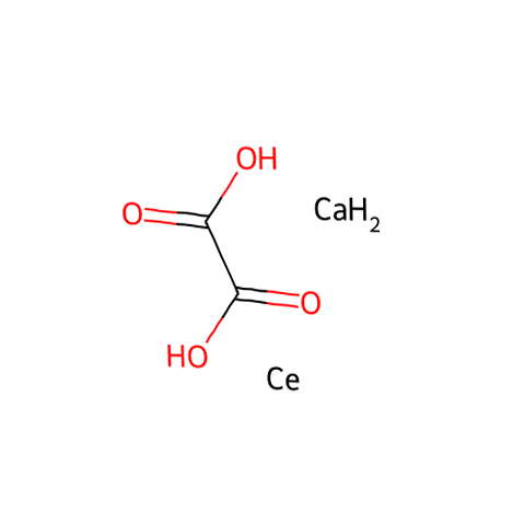 O=C(O)C(=O)O.[CaH2].[Ce]